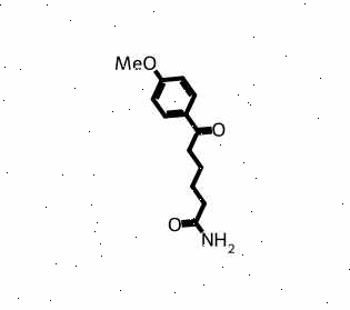 COc1ccc(C(=O)CCCCC(N)=O)cc1